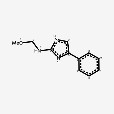 COCNc1nc(-c2ccccc2)cs1